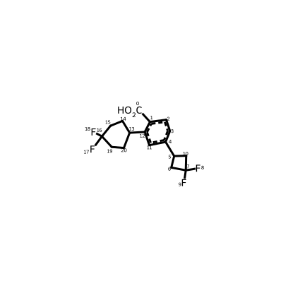 O=C(O)c1ccc(C2CC(F)(F)C2)cc1C1CCC(F)(F)CC1